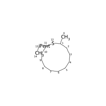 CC1CCCCCCCCCCS1.CCCC(C)C